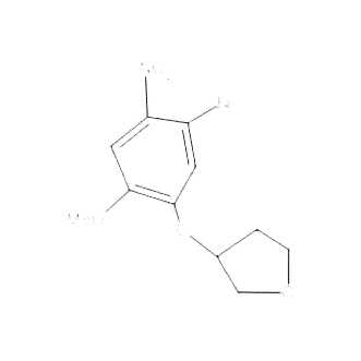 COc1cc([N+](=O)[O-])c(Br)cc1OC1CCOC1